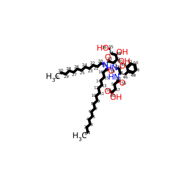 CCCCCCCCCCCCCCCCCC(=O)N(CCCCCCCCCCCC)[C@@H]1O[C@H](CO)[C@@H](O)[C@H](O)[C@@H]1NC(=O)[C@H](Cc1ccccc1)NC(=O)CCC(=O)O